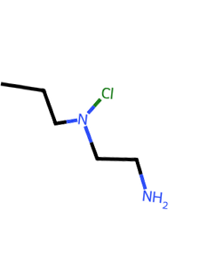 CCCN(Cl)CCN